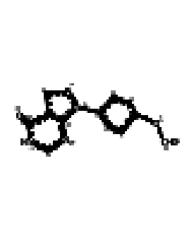 O=COc1ccc(-n2ncc3c(=O)[nH]cnc32)cc1